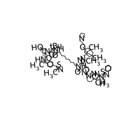 Cc1ncsc1-c1ccc([C@H](C)NC(=O)[C@@H]2C[C@@H](O)CN2C(=O)[C@@H](NC(=O)CCCCCCCCNC(=O)c2nc(N3CCCc4c3nnc(Nc3nc5ccccc5s3)c4C)ccc2-c2cnn(CC34CC5(C)CC(C)(C3)CC(OCCN3CCCC3)(C5)C4)c2C)C(C)(C)C)cc1